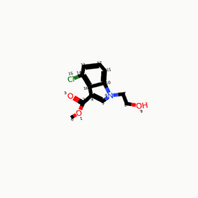 COC(=O)c1cn(CCO)c2cccc(Cl)c12